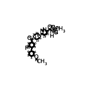 CCOc1cccc(-c2ccc(C(=O)N3CCN(c4ccc(C(=O)NS(C)(=O)=O)nn4)CC3)cc2F)c1